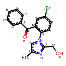 CCc1cn(-c2ccc(Br)cc2C(=O)c2ccccc2)c(CO)n1